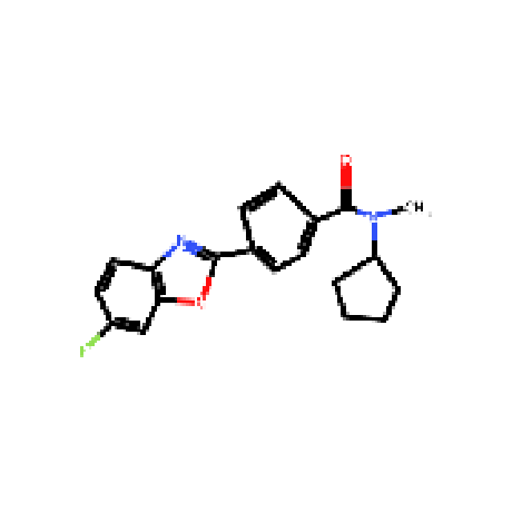 CN(C(=O)c1ccc(-c2nc3ccc(F)cc3o2)cc1)C1CCCC1